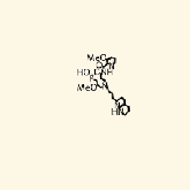 COc1cccnc1C(=O)N[C@@H](CCN(CCCCc1ccc2c(n1)NCCC2)C[C@@H](CF)OC)C(=O)O